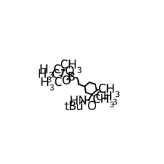 CC(C)(C)NC(=O)C1(C)CC(CCB2OC(C)(C)C(C)(C)O2)CCC1(C)C